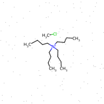 CCCC[N+](CCCC)(CCCC)CCCC.CCl